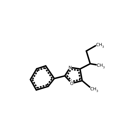 CCC(C)c1nc(-c2ccccc2)oc1C